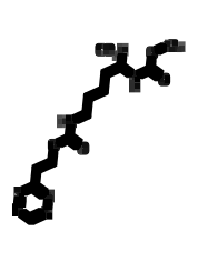 CC(C)(C)OC(=O)NC(CCCCNC(=O)OCCc1nncnn1)C(=O)O